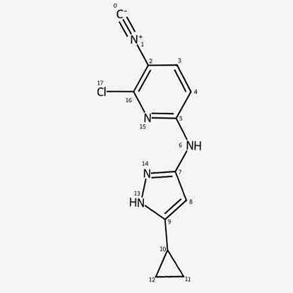 [C-]#[N+]c1ccc(Nc2cc(C3CC3)[nH]n2)nc1Cl